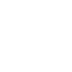 FS(F)(F)(F)(F)c1ccccc1C(Cl)(Cl)Cl